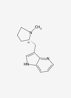 CN1CCC[C@H]1Cc1c[nH]c2cccnc12